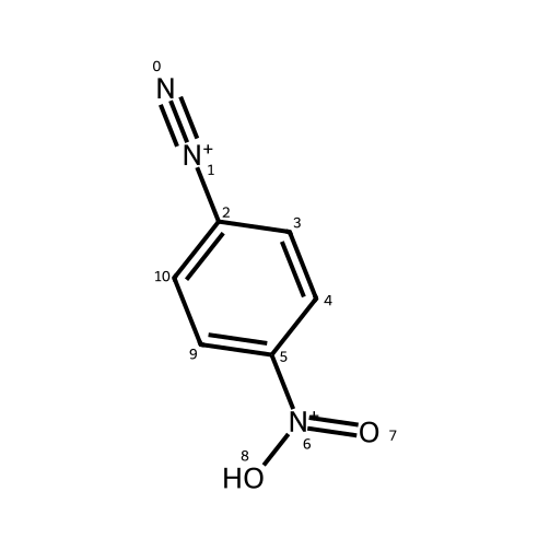 N#[N+]c1ccc([N+](=O)O)cc1